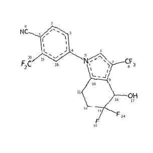 N#Cc1ccc(-n2cc(C(F)(F)F)c3c2CCC(F)(F)C3O)cc1C(F)(F)F